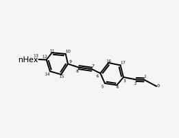 CC#Cc1ccc(C#Cc2ccc(CCCCCC)cc2)cc1